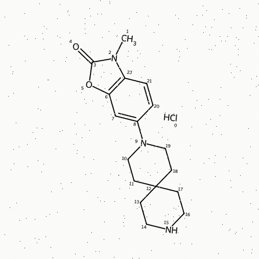 Cl.Cn1c(=O)oc2cc(N3CCC4(CCNCC4)CC3)ccc21